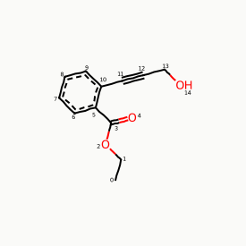 CCOC(=O)c1ccccc1C#CCO